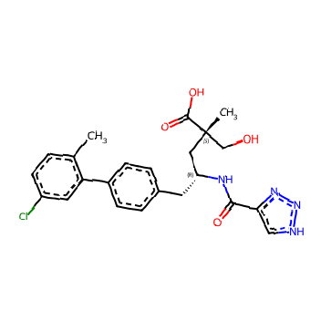 Cc1ccc(Cl)cc1-c1ccc(C[C@H](C[C@@](C)(CO)C(=O)O)NC(=O)c2c[nH]nn2)cc1